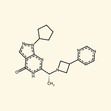 C[C@H](c1nc2c(cnn2C2CCCC2)c(=O)[nH]1)N1CC(c2ccncn2)C1